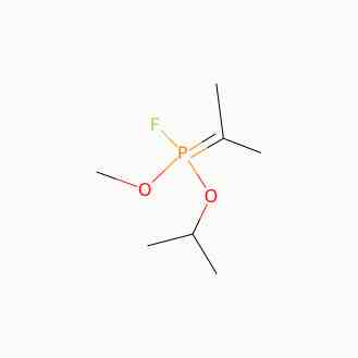 COP(F)(OC(C)C)=C(C)C